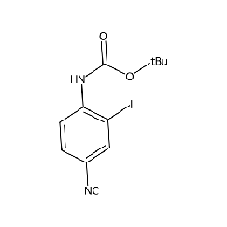 [C-]#[N+]c1ccc(NC(=O)OC(C)(C)C)c(I)c1